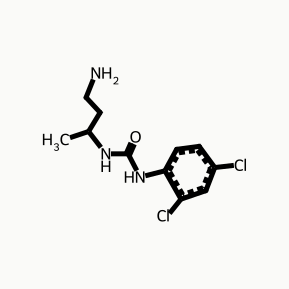 CC(CCN)NC(=O)Nc1ccc(Cl)cc1Cl